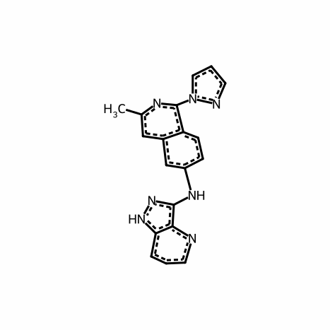 Cc1cc2cc(Nc3n[nH]c4cccnc34)ccc2c(-n2cccn2)n1